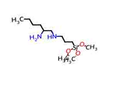 CCCCC(N)CNCCC[Si](OC)(OC)OC